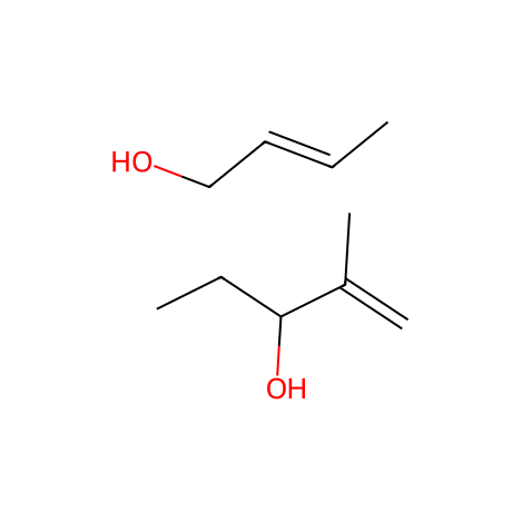 C/C=C/CO.C=C(C)C(O)CC